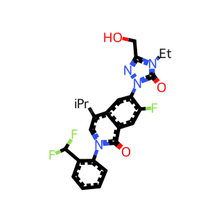 CCn1c(CO)nn(-c2cc3c(C(C)C)cn(-c4ccccc4C(F)F)c(=O)c3cc2F)c1=O